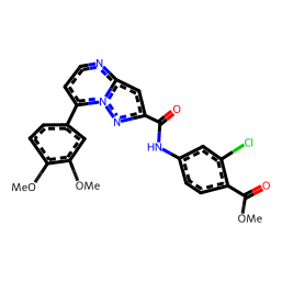 COC(=O)c1ccc(NC(=O)c2cc3nccc(-c4ccc(OC)c(OC)c4)n3n2)cc1Cl